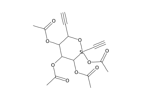 C#CC1O[Si](C#C)(OC(C)=O)C(OC(C)=O)C(OC(C)=O)C1OC(C)=O